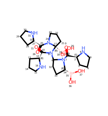 O=C([C@@H]1CCCN1)N1C(N(C(=O)[C@H]2CCCN2)[C@]2(B(O)O)CCCN2C(=O)[C@@H]2CCCN2)CC[C@H]1B(O)O